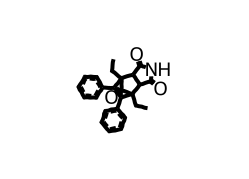 CCC12C(=O)C(CC)(C(c3ccccc3)=C1c1ccccc1)C1C(=O)NC(=O)C12